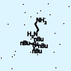 CCCC[N+](CCCC)(CCCC)CCCC.NCCN.[F-]